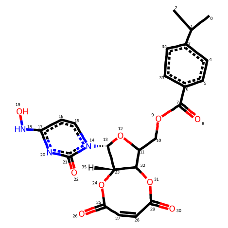 CC(C)c1ccc(C(=O)OCC2O[C@@H](n3ccc(NO)nc3=O)[C@H]3OC(=O)/C=C\C(=O)OC23)cc1